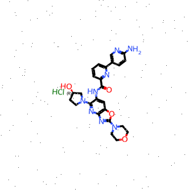 Cl.Nc1ccc(-c2cccc(C(=O)Nc3cc4oc(N5CCOCC5)nc4nc3N3CC[C@@H](O)C3)n2)cn1